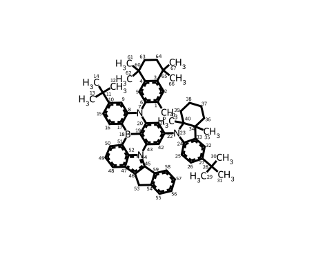 Cc1cc2c(cc1N1c3cc(C(C)(C)C)ccc3B3c4c1cc(N1c5ccc(C(C)(C)C)cc5C5(C)CCCCC15C)cc4-n1c4c(c5cccc3c51)Cc1ccccc1-4)C(C)(C)CCC2(C)C